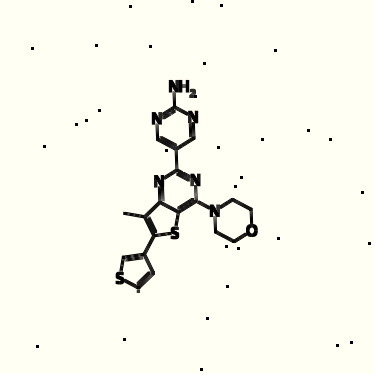 Cc1c(-c2c[c]sc2)sc2c(N3CCOCC3)nc(-c3cnc(N)nc3)nc12